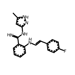 Cc1cc(NC(=N)c2ccccc2N/C=C/c2ccc(F)cc2)n[nH]1